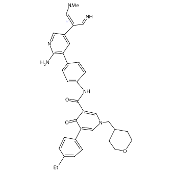 CCc1ccc(-c2cn(CC3CCOCC3)cc(C(=O)Nc3ccc(-c4cc(/C(C=N)=C/NC)cnc4N)cc3)c2=O)cc1